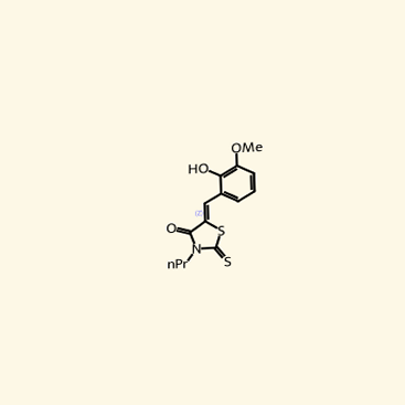 CCCN1C(=O)/C(=C/c2cccc(OC)c2O)SC1=S